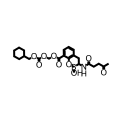 CC(=O)CCC(=O)NC1Cc2cccc(C(=O)OCOC(=O)OCC3CCCCC3)c2OB1O